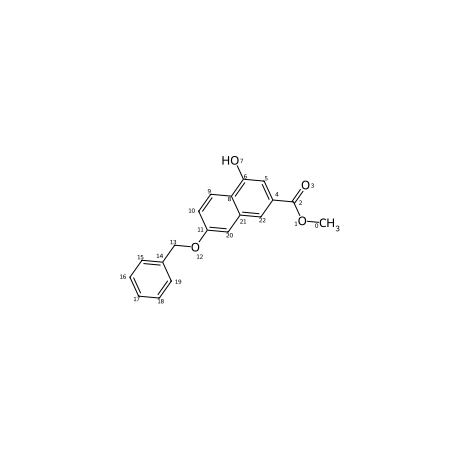 COC(=O)c1cc(O)c2ccc(OCc3ccccc3)cc2c1